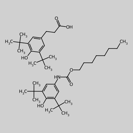 CC(C)(C)c1cc(CCC(=O)O)cc(C(C)(C)C)c1O.CCCCCCCCOC(=O)Nc1cc(C(C)(C)C)c(O)c(C(C)(C)C)c1